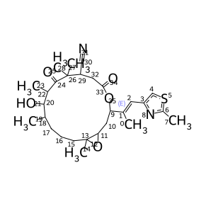 C/C(=C\c1csc(C)n1)C1CC2OC2(C)CCCC(C)C(O)C(C)C(=O)C(C)(C)C(C#N)CC(=O)O1